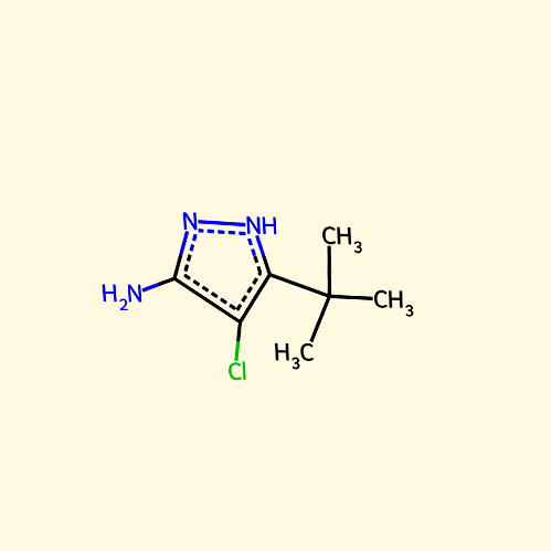 CC(C)(C)c1[nH]nc(N)c1Cl